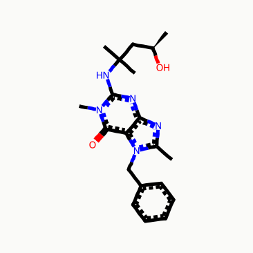 Cc1nc2nc(NC(C)(C)C[C@@H](C)O)n(C)c(=O)c2n1Cc1ccccc1